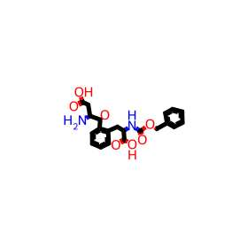 NC(CC(=O)O)C(=O)c1ccccc1CC(NC(=O)OCc1ccccc1)C(=O)O